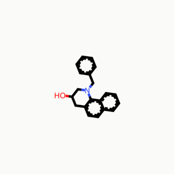 OC1Cc2ccc3ccccc3c2N(Cc2ccccc2)C1